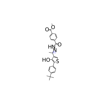 COC(=O)c1ccc(C(=O)N/N=C(\C)c2csc(-c3ccc(C(C)(C)C)cc3)c2O)cc1